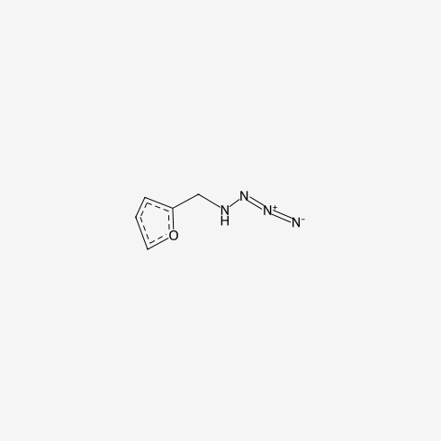 [N-]=[N+]=NNCc1ccco1